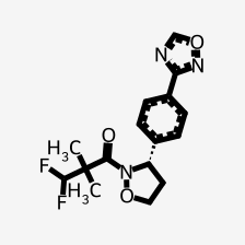 CC(C)(C(=O)N1OCC[C@H]1c1ccc(-c2ncon2)cc1)C(F)F